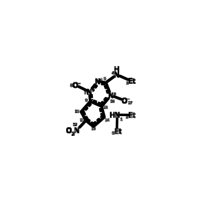 CCNCC.CCNc1n[n+]([O-])c2cc([N+](=O)[O-])ccc2[n+]1[O-]